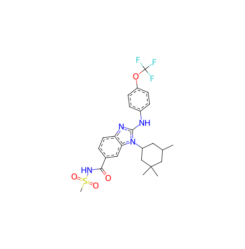 CC1CC(n2c(Nc3ccc(OC(F)(F)F)cc3)nc3ccc(C(=O)NS(C)(=O)=O)cc32)CC(C)(C)C1